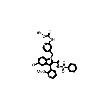 COc1ncccc1-c1c(C(=O)NS(=O)(=O)c2ccccc2)n(Cc2ccnc(NC(=O)OC(C)(C)C)c2)c2ccc(Cl)cc12